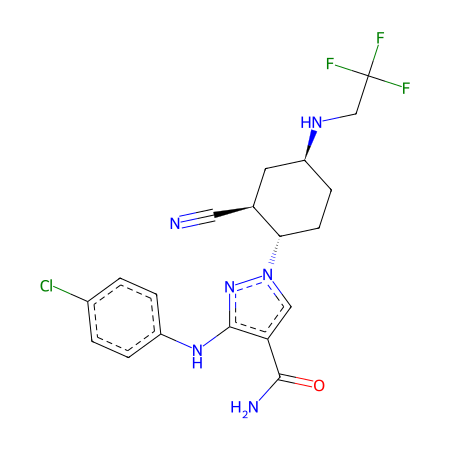 N#C[C@H]1C[C@@H](NCC(F)(F)F)CC[C@@H]1n1cc(C(N)=O)c(Nc2ccc(Cl)cc2)n1